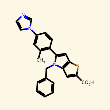 Cc1cc(-n2ccnc2)ccc1-c1cc2sc(C(=O)O)cc2n1Cc1ccccc1